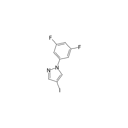 Fc1cc(F)cc(-n2cc(I)cn2)c1